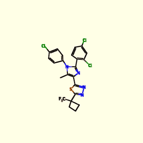 Cc1c(-c2nnc(C3(C(F)(F)F)CCC3)s2)nc(-c2ccc(Cl)cc2Cl)n1-c1ccc(Cl)cc1